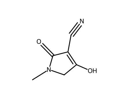 CN1CC(O)=C(C#N)C1=O